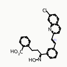 O=C(O)c1ccccc1CCC(=NO)c1cccc(/C=C/c2ccc3ccc(Cl)cc3n2)c1